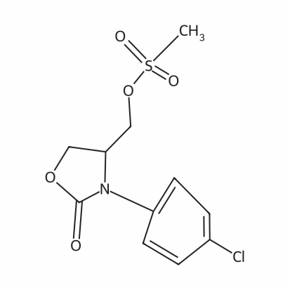 CS(=O)(=O)OCC1COC(=O)N1c1ccc(Cl)cc1